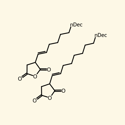 CCCCCCCCCCCCCCC=CC1CC(=O)OC1=O.CCCCCCCCCCCCCCCCC=CC1CC(=O)OC1=O